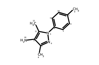 Cc1ccc(-n2nc(C)c(N)c2C)cc1